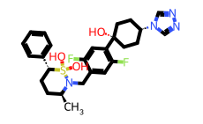 C[C@H]1CC[C@H](c2ccccc2)S(O)(O)N1Cc1cc(F)c([C@]2(O)CC[C@@H](n3cnnc3)CC2)cc1F